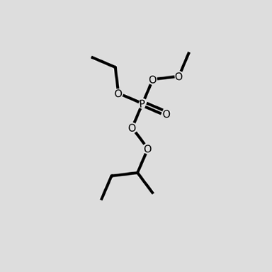 CCOP(=O)(OOC)OOC(C)CC